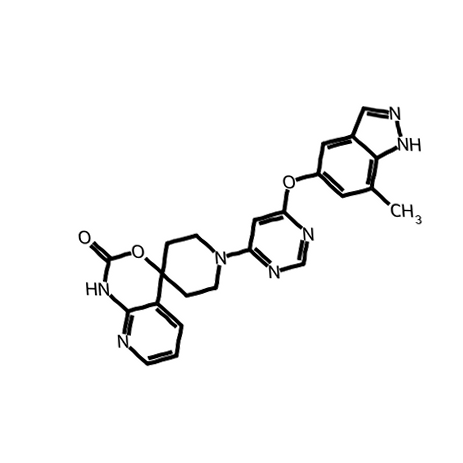 Cc1cc(Oc2cc(N3CCC4(CC3)OC(=O)Nc3ncccc34)ncn2)cc2cn[nH]c12